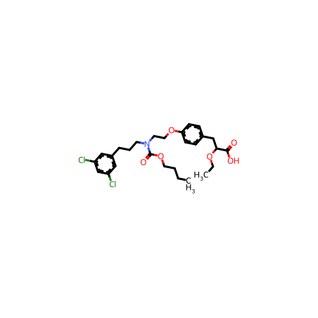 CCCCOC(=O)N(CCCc1cc(Cl)cc(Cl)c1)CCOc1ccc(CC(OCC)C(=O)O)cc1